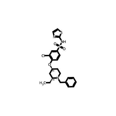 CC[C@H]1C[C@@H](Oc2ccc(S(=O)(=O)Nc3nccs3)cc2Cl)CCN1Cc1ccccc1